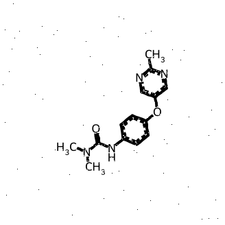 Cc1ncc(Oc2ccc(NC(=O)N(C)C)cc2)cn1